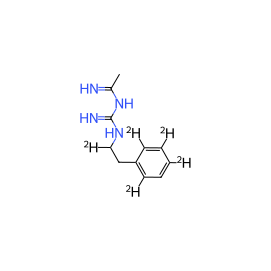 [2H]c1cc([2H])c(CC([2H])NC(=N)NC(C)=N)c([2H])c1[2H]